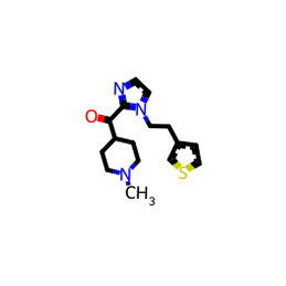 CN1CCC(C(=O)c2nccn2CCc2ccsc2)CC1